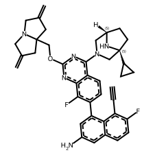 C#Cc1c(F)ccc2cc(N)cc(-c3ccc4c(N5C[C@@H]6CC[C@](C7CC7)(C5)N6)nc(OCC56CC(=C)CN5CC(=C)C6)nc4c3F)c12